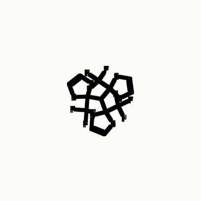 FC(F)(F)C1(C(C2(C(F)(F)F)SC=CS2)C2(C(F)(F)F)SC=CS2)SC=CS1